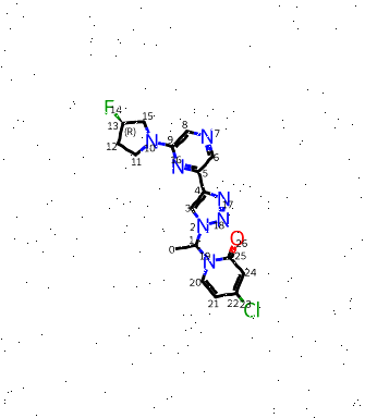 CC(n1cc(-c2cncc(N3CC[C@@H](F)C3)n2)nn1)n1ccc(Cl)cc1=O